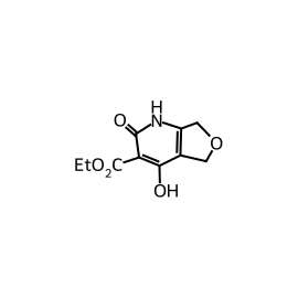 CCOC(=O)c1c(O)c2c([nH]c1=O)COC2